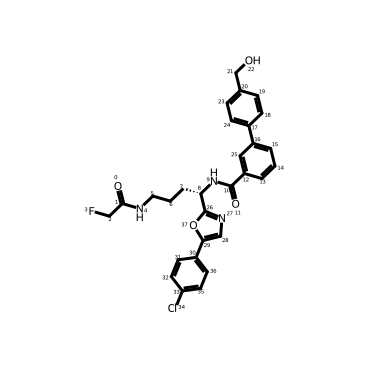 O=C(CF)NCCC[C@H](NC(=O)c1cccc(-c2ccc(CO)cc2)c1)c1ncc(-c2ccc(Cl)cc2)o1